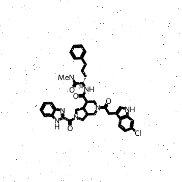 CNC(=O)[C@H](CCCc1ccccc1)NC(=O)C1CN(C(=O)Cc2c[nH]c3cc(Cl)ccc23)CC2CN(C(=O)c3nc4ccccc4[nH]3)CC21